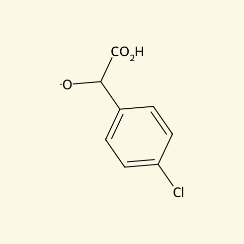 [O]C(C(=O)O)c1ccc(Cl)cc1